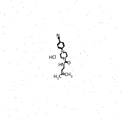 CN(C)CCNC(=O)N1CCN(c2ccc(C#N)cc2)CC1.Cl